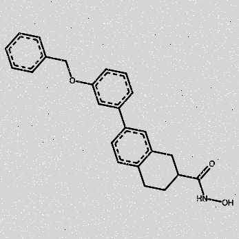 O=C(NO)C1CCc2ccc(-c3cccc(OCc4ccccc4)c3)cc2C1